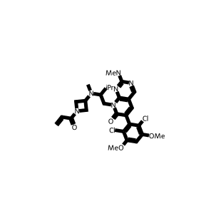 C=CC(=O)N1CC(N(C)C(Cn2c(=O)c(-c3c(Cl)c(OC)cc(OC)c3Cl)cc3cnc(NC)nc32)C(C)C)C1